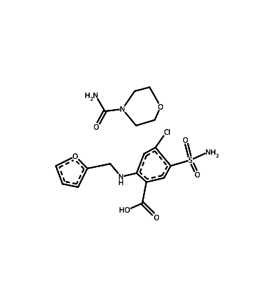 NC(=O)N1CCOCC1.NS(=O)(=O)c1cc(C(=O)O)c(NCc2ccco2)cc1Cl